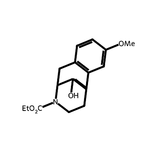 CCOC(=O)N1CCC23CCCCC2(O)C1Cc1ccc(OC)cc13